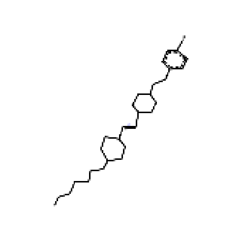 CCCCCCCC1CCC(/C=C/C2CCC(CCc3ccc(F)cc3)CC2)CC1